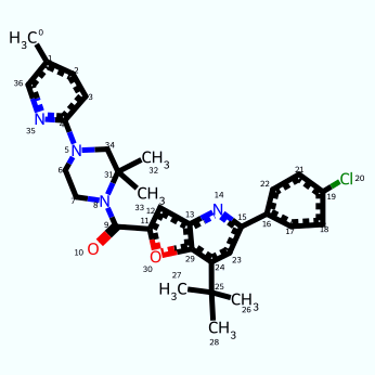 Cc1ccc(N2CCN(C(=O)c3cc4nc(-c5ccc(Cl)cc5)cc(C(C)(C)C)c4o3)C(C)(C)C2)nc1